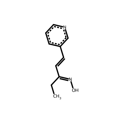 CCC(C=Cc1cccnc1)=NO